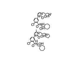 CN(C)CC(O)Cn1ccn(-c2ccc(Cl)c(C(=O)NC(O)C3CCCCCC3)c2)c1=O.Cc1cn(-c2ccc(Cl)c(C(=O)NCC3(O)CCCCCC3)c2)c(=O)n1CC(O)CN1CCCC1